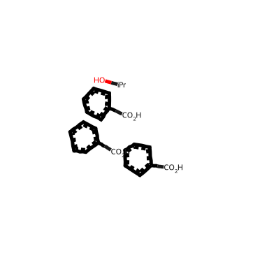 CC(C)O.O=C(O)c1ccccc1.O=C(O)c1ccccc1.O=C(O)c1ccccc1